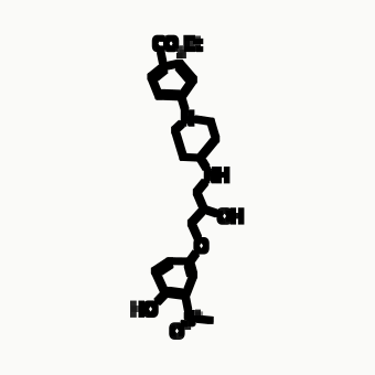 CCOC(=O)c1ccc(N2CCC(NCC(O)COc3ccc(O)c([S+](C)[O-])c3)CC2)cc1